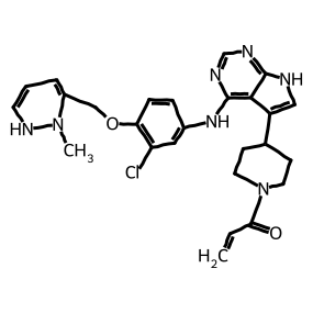 C=CC(=O)N1CCC(c2c[nH]c3ncnc(Nc4ccc(OCC5=CC=CNN5C)c(Cl)c4)c23)CC1